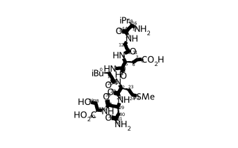 CC[C@H](C)[C@H](NC(=O)[C@H](CCC(=O)O)NC(=O)CNC(=O)[C@@H](N)C(C)C)C(=O)N[C@@H](CCSC)C(=O)N[C@@H](CC(N)=O)C(=O)N[C@@H](CO)C(=O)O